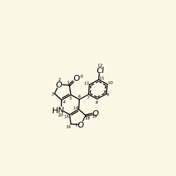 O=C1OCC2=C1C(c1cccc(Cl)c1)C1=C(COC1=O)N2